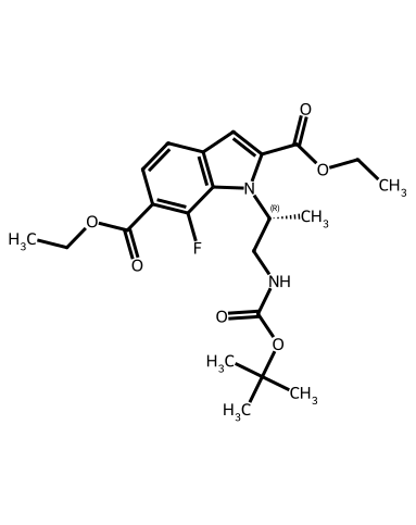 CCOC(=O)c1ccc2cc(C(=O)OCC)n([C@H](C)CNC(=O)OC(C)(C)C)c2c1F